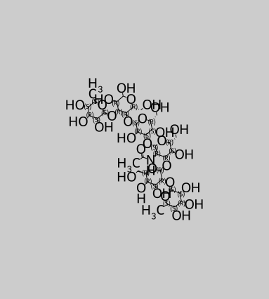 CC(=O)N[C@H]1[C@H](O[C@H]2[C@@H](O)[C@@H](CO)O[C@@H](O[C@H]3[C@H](O[C@@H]4O[C@@H](C)[C@@H](O)[C@@H](O)[C@@H]4O)[C@@H](O)C(O)O[C@@H]3CO)[C@@H]2O)O[C@H](CO)[C@@H](O)[C@@H]1O[C@@H]1O[C@H](CO)[C@H](O)[C@H](O)[C@H]1O[C@@H]1O[C@@H](C)[C@@H](O)[C@@H](O)[C@@H]1O